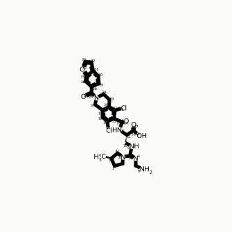 C[C@@H]1CCN(/C(=N\CN)NC[C@H](NC(=O)c2c(Cl)cc3c(c2Cl)CCN(C(=O)c2ccc4ccoc4c2)C3)C(=O)O)C1